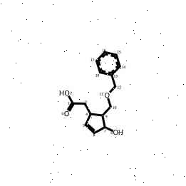 O=C(O)CC1C=CC(O)C1COCc1ccccc1